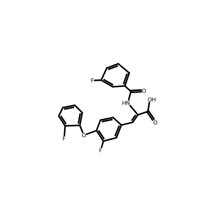 O=C(O)/C(=C/c1ccc(Oc2ccccc2F)c(F)c1)NC(=O)c1cccc(F)c1